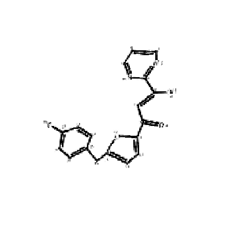 O=C(C=C(O)c1ncccn1)c1ccc(Cc2ccc(F)cc2)o1